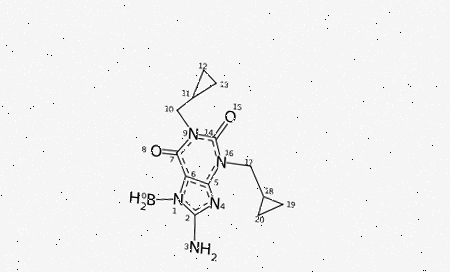 Bn1c(N)nc2c1c(=O)n(CC1CC1)c(=O)n2CC1CC1